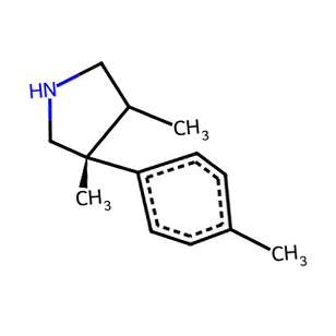 Cc1ccc([C@]2(C)CNCC2C)cc1